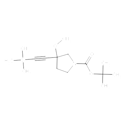 COC1(C#C[Si](C)(C)C)CCN(C(=O)OC(C)(C)C)C1